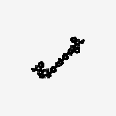 COC(=O)N[C@@H](C(=O)N1CCCC1c1nc(-c2ccc(-c3cn4cc(-c5ccc(-c6cnc([C@@H]7CCCN7C(=O)[C@H](NC(=O)OC)c7ccccc7)[nH]6)cc5)sc4n3)cc2)c[nH]1)c1ccccc1